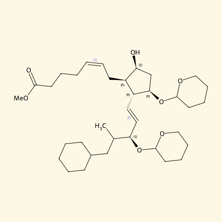 COC(=O)CCC/C=C\C[C@@H]1[C@@H](/C=C/[C@@H](OC2CCCCO2)C(C)CC2CCCCC2)[C@H](OC2CCCCO2)C[C@@H]1O